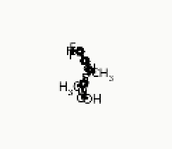 Cc1cc(SCc2sc(-c3ccc(-c4cccc(C(F)(F)F)c4)cc3)nc2C)ccc1OCC(=O)O